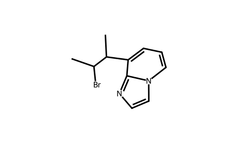 CC(Br)C(C)c1cccn2ccnc12